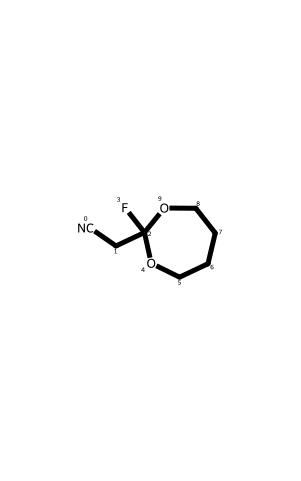 N#CCC1(F)OCCCCO1